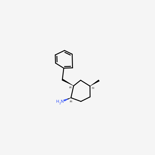 C[C@H]1CC[C@@H](N)[C@@H](Cc2ccccc2)C1